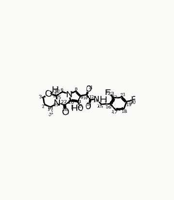 C[C@@H]1CCO[C@H]2Cn3cc(C(=O)C(=O)NCc4ccc(F)cc4F)c(O)c3C(=O)N12